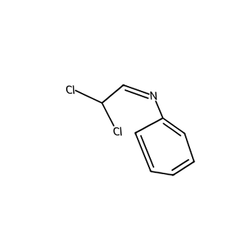 ClC(Cl)/C=N\c1ccccc1